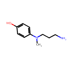 CN(CCCN)c1ccc(O)cc1